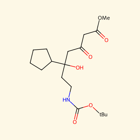 COC(=O)CC(=O)CC(O)(CCNC(=O)OC(C)(C)C)C1CCCC1